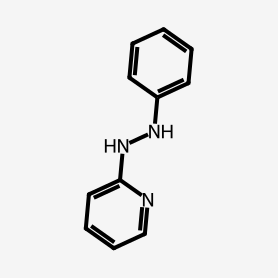 c1ccc(NNc2ccccn2)cc1